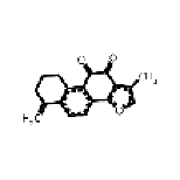 C=C1CCCc2c1ccc1c2C(=O)C(=O)c2c(C)coc2-1